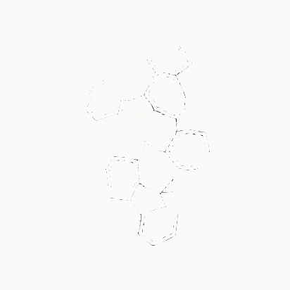 CC1(C)c2ccccc2-c2cccc(Nc3ccccc3-c3cc4ccccc4c4c3sc3ccccc34)c21